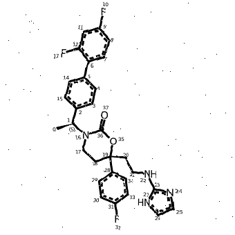 C[C@@H](c1ccc(-c2ccc(F)cc2F)cc1)N1CCC(CCNc2ncc[nH]2)(c2ccc(F)cc2)OC1=O